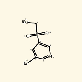 CC(C)(C)CS(=O)(=O)c1cncc(Br)c1